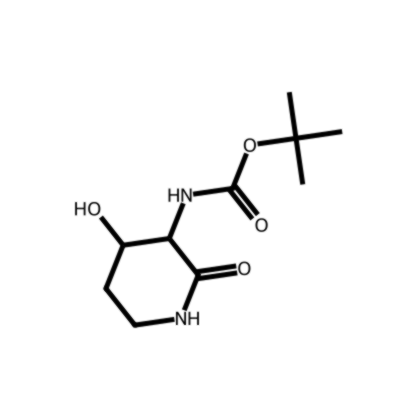 CC(C)(C)OC(=O)NC1C(=O)NCCC1O